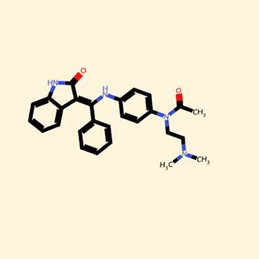 CC(=O)N(CCN(C)C)c1ccc(N/C(=C2\C(=O)Nc3ccccc32)c2ccccc2)cc1